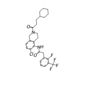 O=C(Cc1cccc(C(F)(F)F)c1F)Nc1c(Cl)ccc2c1CCN(C(=O)CCC1CCCCC1)C2